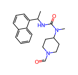 CC(NC(=O)N(C)C1CCN(C=O)CC1)c1cccc2ccccc12